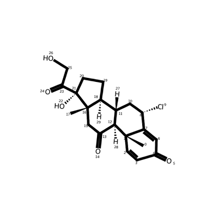 C[C@]12C=CC(=O)C=C1[C@@H](Cl)C[C@@H]1[C@@H]2C(=O)C[C@@]2(C)[C@H]1CC[C@]2(O)C(=O)CO